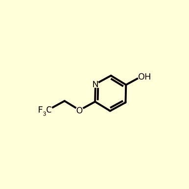 Oc1ccc(OCC(F)(F)F)nc1